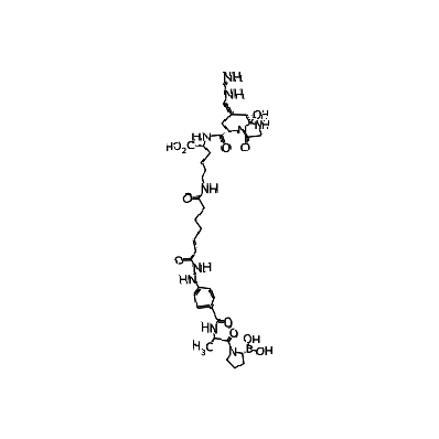 C[C@@H](NC(=O)c1ccc(NNC(=O)CCCCCC(=O)NCCCC[C@H](NC(=O)[C@@H]2C/C(=C/NC=N)CC3(O)NCC(=O)N23)C(=O)O)cc1)C(=O)N1CCC[C@H]1B(O)O